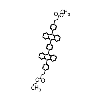 CCCOC(=O)CCc1ccc(-c2c3ccccc3c(-c3ccc(-c4c5ccccc5c(-c5ccc(CCC(=O)OC)cc5)c5ccccc45)cc3)c3ccccc23)cc1